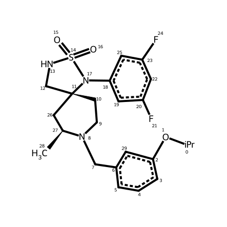 CC(C)Oc1cccc(CN2CC[C@]3(CNS(=O)(=O)N3c3cc(F)cc(F)c3)C[C@@H]2C)c1